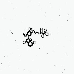 COc1cc(Br)c(OCCCNC(=O)C(=O)O)cc1-c1cc(=O)c2cccc(Cl)c2o1